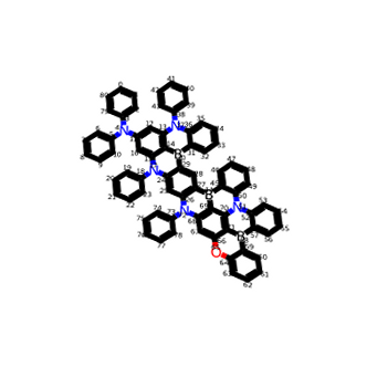 c1ccc(N(c2ccccc2)c2cc3c4c(c2)N(c2ccccc2)c2cc5c(cc2B4c2ccccc2N3c2ccccc2)B2c3ccccc3N3c4ccccc4B4c6ccccc6Oc6cc(c2c3c64)N5c2ccccc2)cc1